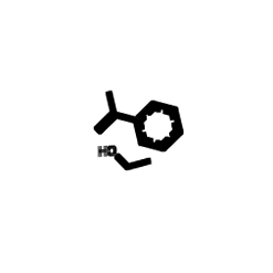 C=C(C)c1ccccc1.CCO